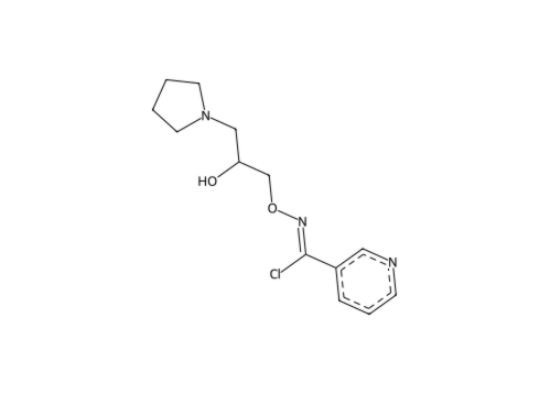 OC(CON=C(Cl)c1cccnc1)CN1CCCC1